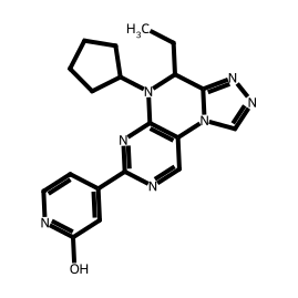 CCC1c2nncn2-c2cnc(-c3ccnc(O)c3)nc2N1C1CCCC1